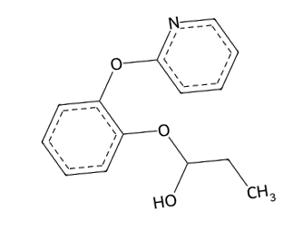 CCC(O)Oc1ccccc1Oc1ccccn1